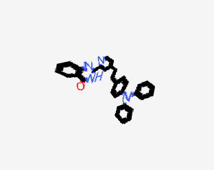 O=c1[nH]c(-c2cc(C=Cc3ccc(N(c4ccccc4)c4ccccc4)cc3)ccn2)nc2ccccc12